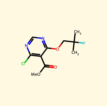 COC(=O)c1c(Cl)ncnc1OCC(C)(C)F